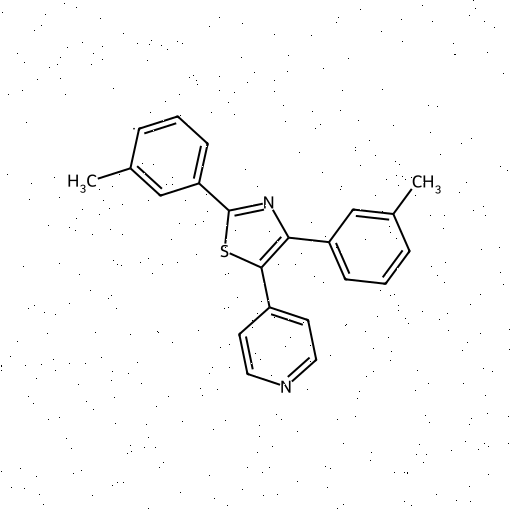 Cc1[c]ccc(-c2nc(-c3cccc(C)c3)c(-c3ccncc3)s2)c1